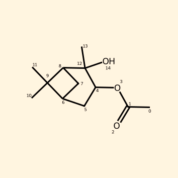 CC(=O)OC1CC2CC(C2(C)C)C1(C)O